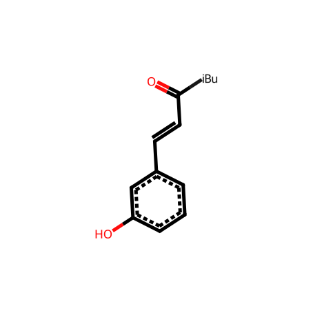 CCC(C)C(=O)C=Cc1cccc(O)c1